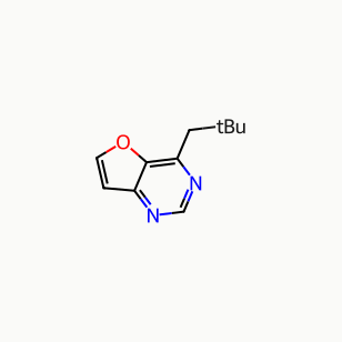 CC(C)(C)Cc1ncnc2ccoc12